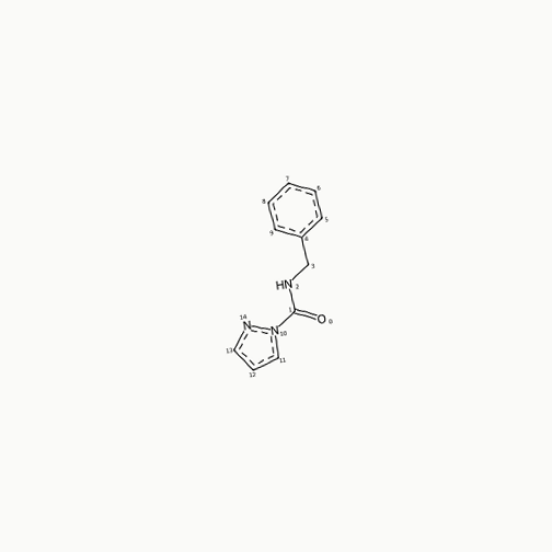 O=C(NCc1ccccc1)n1cccn1